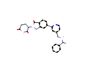 CC(c1ccccc1)N(C)Cc1ccnc(-c2ccc3c(c2)CN(C2CCC(=O)NC2=O)C3=O)c1